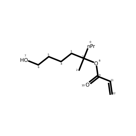 [CH2]CCC(C)(CCCCO)OC(=O)C=C